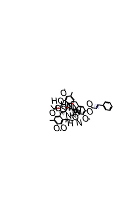 COc1cc2c(cc1OC(=O)/C=C/c1ccccc1)CCN[C@]21CS[C@@H]2c3c(OC(C)=O)c(C)c4c(c3[C@H](COC1=O)N1C2[C@H]2c3c(cc(C)c(OC)c3O)C[C@@H]([C@@H]1C#N)N2C)OCO4